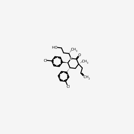 C=CC[C@@]1(C)C[C@H](c2cccc(Cl)c2)[C@@H](c2ccc(Cl)cc2)N([C@@H](C)CCO)C1=O